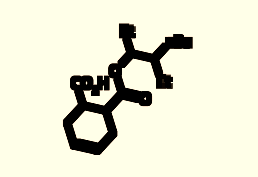 CCCCC(CC)C(CC)OC(=O)C1CC=CCC1C(=O)O